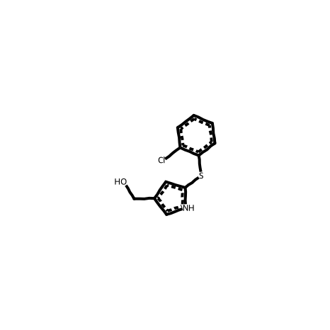 OCc1c[nH]c(Sc2ccccc2Cl)c1